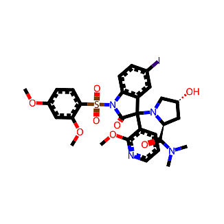 COc1ccc(S(=O)(=O)N2C(=O)C(c3cccnc3OC)(N3C[C@H](O)C[C@H]3C(=O)N(C)C)c3cc(I)ccc32)c(OC)c1